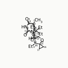 CC[C@]12O[C@@H](n3cc(C)c(=O)[nH]c3=O)C(OC13CC3)[C@H]2O[Si](CC)(CC)CC